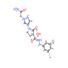 NC(=O)Cn1cc(N2CC[C@](O)(C(=O)NCc3cc(F)cc(Cl)c3)C2=O)cn1